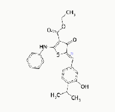 CCOC(=O)C1=C(Nc2ccccc2)S/C(=C\c2ccc(C(C)C)c(O)c2)C1=O